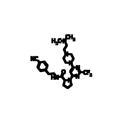 CN(C)CCN1CCN(c2cc(N3CCCC3C(=O)NCCc3ccc(C#N)cc3)nc(C(F)(F)F)n2)CC1